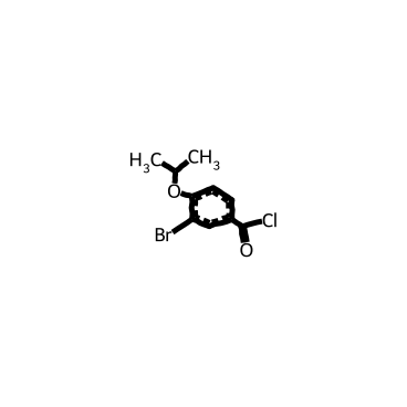 CC(C)Oc1ccc(C(=O)Cl)cc1Br